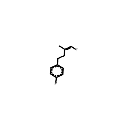 C/C(=C/F)CCc1ccc(F)cc1